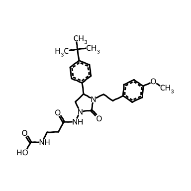 COc1ccc(CCN2C(=O)N(NC(=O)CCNC(=O)O)CC2c2ccc(C(C)(C)C)cc2)cc1